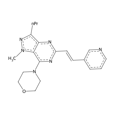 CCCc1nn(C)c2c(N3CCOCC3)nc(C=Cc3cccnc3)nc12